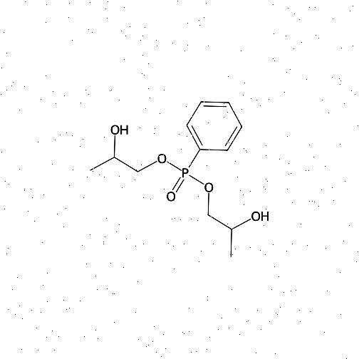 CC(O)COP(=O)(OCC(C)O)c1ccccc1